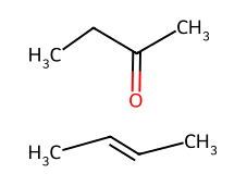 C/C=C/C.CCC(C)=O